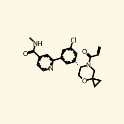 C=CC(=O)N1CC2(CC2)OC[C@@H]1c1cc(Cl)cc(-c2cc(C(=O)NC)ccn2)c1